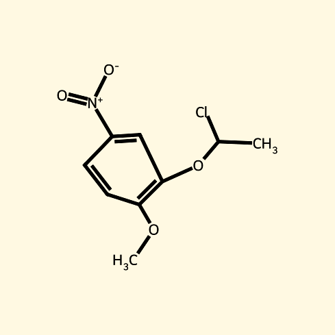 COc1ccc([N+](=O)[O-])cc1OC(C)Cl